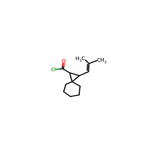 CC(C)=CC1C(C(=O)Cl)C12CCCCC2